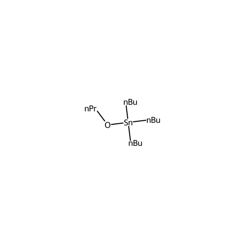 CCC[CH2][Sn]([CH2]CCC)([CH2]CCC)[O]CCC